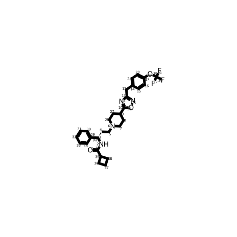 O=C(N[C@@H](CCN1CCC(c2nc(Cc3ccc(OC(F)(F)F)cc3)no2)CC1)c1ccccc1)C1CCC1